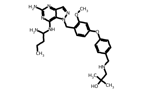 CCCC(N)Nc1nc(N)nc2cnn(Cc3ccc(Oc4ccc(CNCC(C)(C)O)cc4)cc3OC)c12